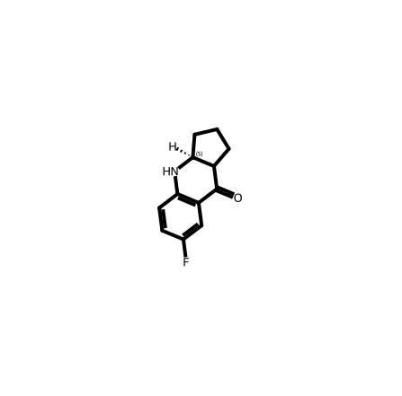 O=C1c2cc(F)ccc2N[C@H]2CCCC12